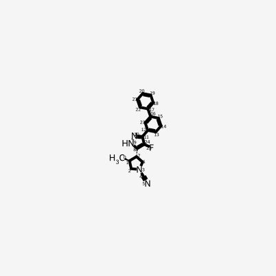 C[C@@H]1CN(C#N)C[C@H]1c1[nH]nc(-c2cccc(-c3ccccc3)c2)c1F